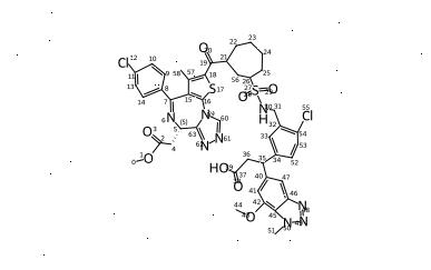 COC(=O)C[C@@H]1N=C(c2ccc(Cl)cc2)c2c(sc(C(=O)C3CCCCC(S(=O)(=O)NCc4cc(C(CC(=O)O)c5cc(OC)c6c(c5)nnn6C)ccc4Cl)C3)c2C)-n2cnnc21